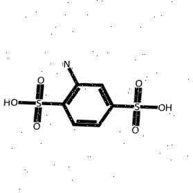 [N]c1cc(S(=O)(=O)O)ccc1S(=O)(=O)O